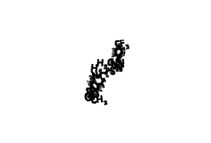 Cn1c(SCCCC2CCc3cc(OS(C)(=O)=O)ccc3CN2)nnc1-c1ccc(C(F)(F)F)cc1